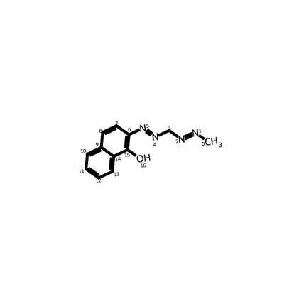 CN=NCN=Nc1ccc2ccccc2c1O